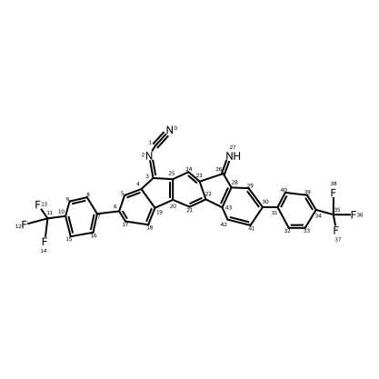 N#C/N=c1/c2cc(-c3ccc(C(F)(F)F)cc3)ccc2c2cc3c(cc12)c(=N)c1cc(-c2ccc(C(F)(F)F)cc2)ccc13